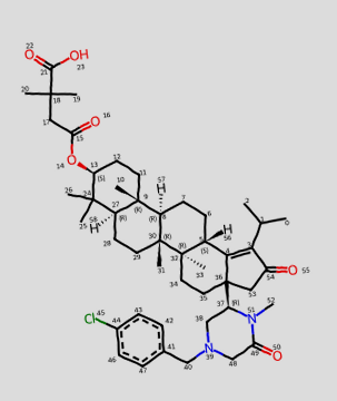 CC(C)C1=C2[C@H]3CC[C@@H]4[C@@]5(C)CC[C@H](OC(=O)CC(C)(C)C(=O)O)C(C)(C)[C@@H]5CC[C@@]4(C)[C@]3(C)CCC2([C@@H]2CN(Cc3ccc(Cl)cc3)CC(=O)N2C)CC1=O